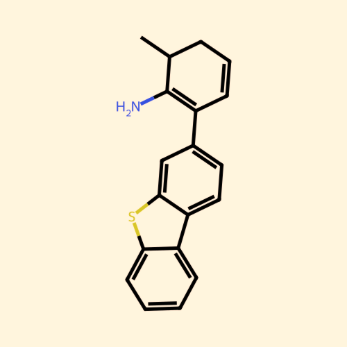 CC1CC=CC(c2ccc3c(c2)sc2ccccc23)=C1N